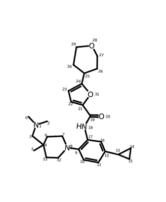 CN(C)CC1(C)CCN(c2ccc(C3CC3)cc2NC(=O)c2ccc(C3CCOCC3)o2)CC1